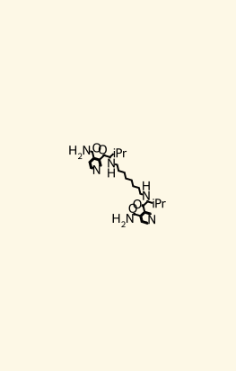 CC(C)C(NCCCCCCCCNC(C(=O)c1cnccc1C(N)=O)C(C)C)C(=O)c1cnccc1C(N)=O